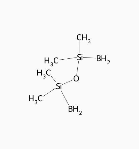 B[Si](C)(C)O[Si](B)(C)C